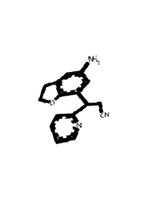 N#CCC(c1ccccn1)c1cc(N)cc2c1OCC2